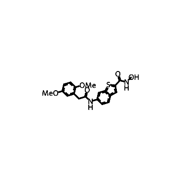 COc1ccc(OC)c(CC(=O)Nc2ccc3cc(C(=O)NO)sc3c2)c1